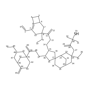 C=CC1=C2CCC2CC(CC)(C(=C)CCC2CC3(CCC4CC3CC(CC)(CC(=C)C(C)(C)S)C4)CC2CCC(=C)C23CCC(=C)C(CC(CC)C2)C3)C1